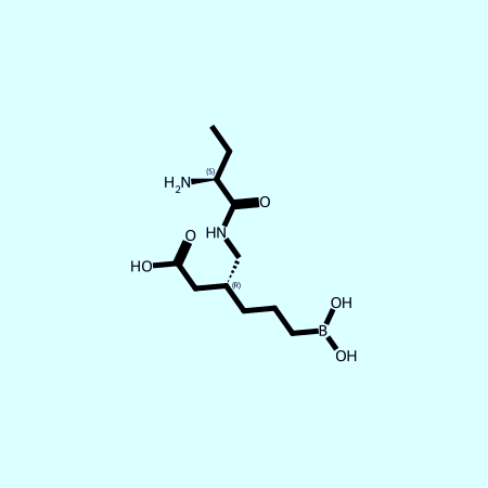 CC[C@H](N)C(=O)NC[C@H](CCCB(O)O)CC(=O)O